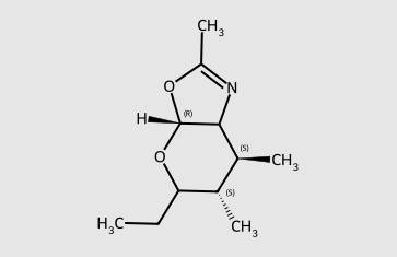 CCC1O[C@@H]2OC(C)=NC2[C@@H](C)[C@@H]1C